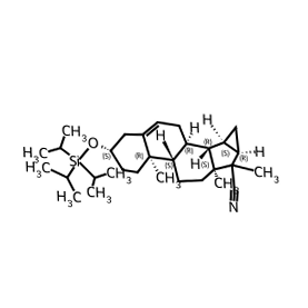 CC(C)[Si](O[C@H]1CC[C@@]2(C)C(=CC[C@H]3[C@@H]4[C@H]5C[C@H]5C(C)(C#N)[C@@]4(C)CC[C@@H]32)C1)(C(C)C)C(C)C